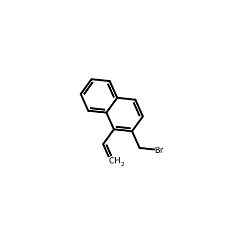 C=Cc1c(CBr)ccc2ccccc12